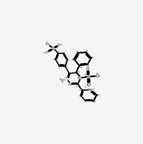 O=S(=O)([O-])c1ccc(C2=NN=C(c3ccccn3)N(S(=O)(=O)[O-])C2c2ccccc2)cc1.[Fe+2]